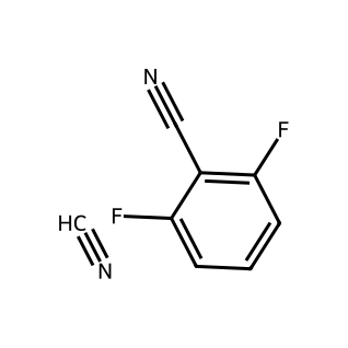 C#N.N#Cc1c(F)cccc1F